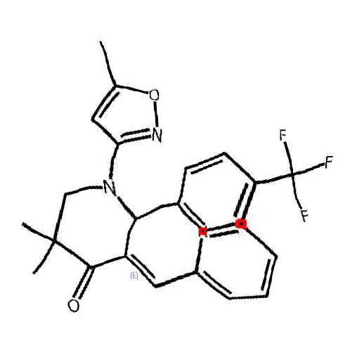 Cc1cc(N2CC(C)(C)C(=O)/C(=C/c3ccccn3)C2c2ccc(C(F)(F)F)cc2)no1